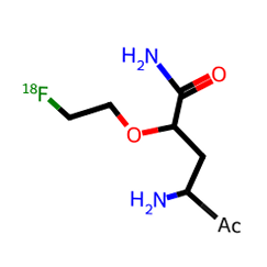 CC(=O)C(N)CC(OCC[18F])C(N)=O